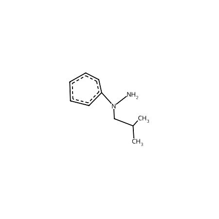 CC(C)CN(N)c1ccccc1